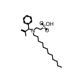 C=C(C)C(c1ccccc1)N(CCCCCCCCCCCC)CCS(=O)(=O)O